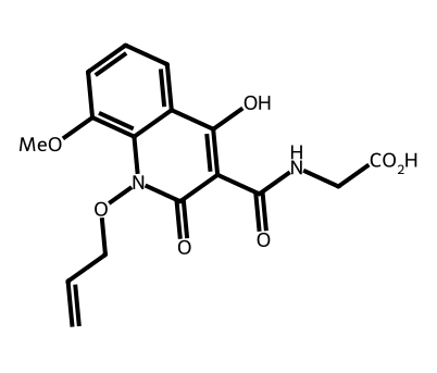 C=CCOn1c(=O)c(C(=O)NCC(=O)O)c(O)c2cccc(OC)c21